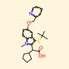 Cn1c(C(C(=O)O)C2CCCC2)c(SC(C)(C)C)c2cc(OCc3ccccn3)ccc21